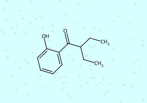 CCC(CC)C(=O)c1ccccc1O